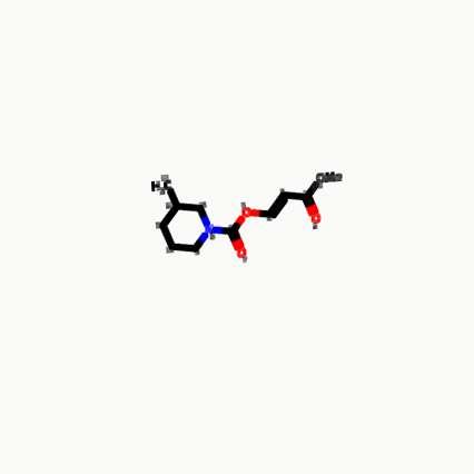 COC(=O)C=COC(=O)N1CCCC(C)C1